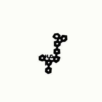 Cc1c(-c2ccc(-c3ccc4c(c3)-c3ccccc3C43CCCCC3)cc2)cccc1-c1cc(-c2ccccc2)nc(-c2ccccc2)c1